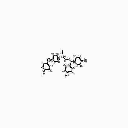 Fc1ccc(Oc2cc[n+](CCCC(c3ccc(F)cc3)c3ccc(F)cc3)cc2)cc1.[I-]